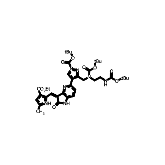 CCOC(=O)c1cc(C)[nH]c1/C=C1\C(=O)Nc2ccc(-c3cn(C(=O)OC(C)(C)C)nc3CN(CCNC(=O)OC(C)(C)C)C(=O)OC(C)(C)C)nc21